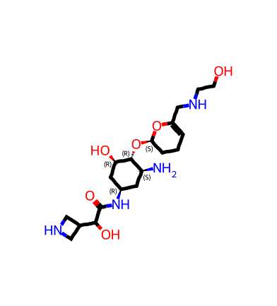 N[C@H]1C[C@@H](NC(=O)C(O)C2CNC2)C[C@@H](O)[C@@H]1O[C@@H]1CCC=C(CNCCO)O1